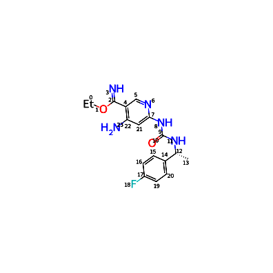 CCOC(=N)c1cnc(NC(=O)N[C@H](C)c2ccc(F)cc2)cc1N